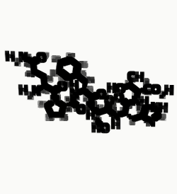 C[C@@H](O)[C@H](NC(=O)[C@H](Cc1c[nH]cn1)NC(=O)[C@H](CO)NC(=O)[C@H](Cc1ccccc1)NC(=O)[C@@H]1CCCN1C(=O)[C@@H](N)CCC(N)=O)C(=O)O